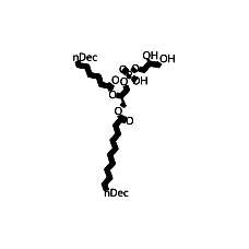 CCCCCCCCCCCCCCCCCCCC(=O)OC[C@H](COP(=O)(O)OC[C@@H](O)CO)OC(=O)CCCCCCCCCCCCCCC